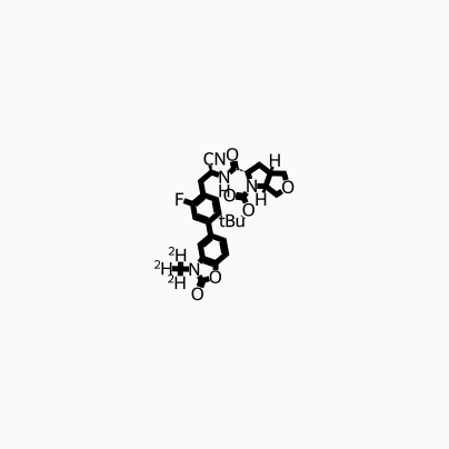 [2H]C([2H])([2H])n1c(=O)oc2ccc(-c3ccc(C[C@@H](C#N)NC(=O)[C@@H]4C[C@@H]5COC[C@@H]5N4C(=O)OC(C)(C)C)c(F)c3)cc21